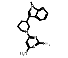 Cn1cc(C2CCCN(c3cc(N)nc(N)n3)C2)c2ccccc21